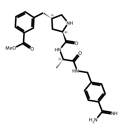 COC(=O)c1cccc(C[C@@H]2CN[C@@H](C(=O)N[C@@H](C)C(=O)NCc3ccc(C(=N)N)cc3)C2)c1